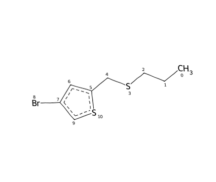 CCCSCc1cc(Br)cs1